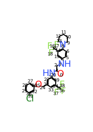 O=C(CNc1ccc(N2CCCCC2)c(C(F)(F)F)c1)Nc1cc(COc2cccc(Cl)c2)cc(C(F)(F)F)c1